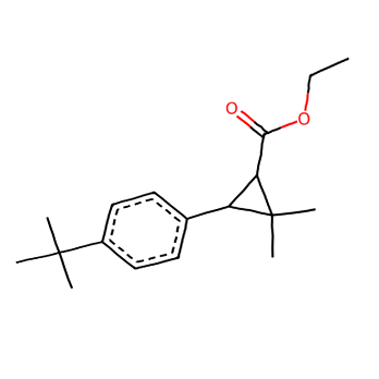 CCOC(=O)C1C(c2ccc(C(C)(C)C)cc2)C1(C)C